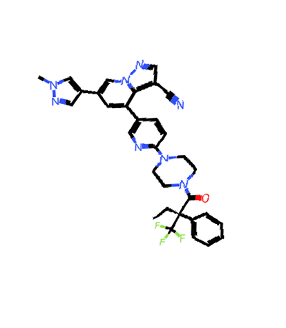 CC[C@@](C(=O)N1CCN(c2ccc(-c3cc(-c4cnn(C)c4)cn4ncc(C#N)c34)cn2)CC1)(c1ccccc1)C(F)(F)F